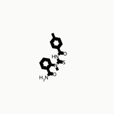 Cc1ccc(C(=O)NC(=S)N(C)c2ccccc2C(N)=O)cc1